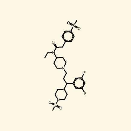 CCN(C(=O)Cc1ccc(S(C)(=O)=O)cc1)C1CCN(CCC(c2cc(F)cc(F)c2)C2CCN(S(C)(=O)=O)CC2)CC1